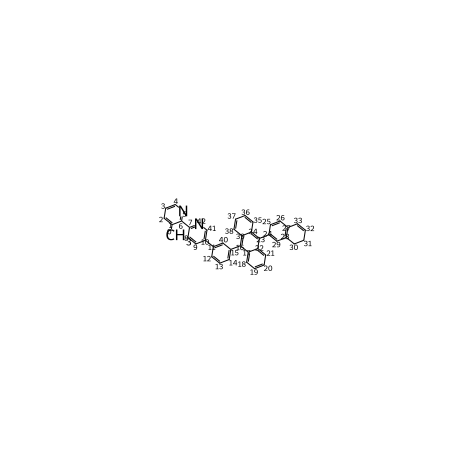 Cc1cccnc1-c1ccc(-c2cccc(-c3c4ccccc4c(-c4ccc5c(c4)CCC=C5)c4ccccc34)c2)cn1